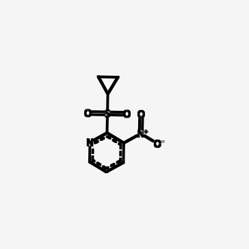 O=[N+]([O-])c1cccnc1S(=O)(=O)C1CC1